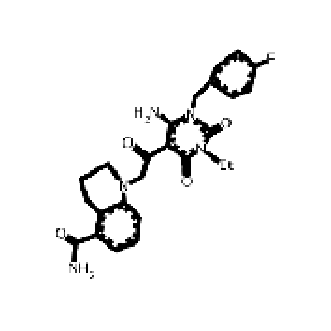 CCn1c(=O)c(C(=O)CN2CCCc3c(C(N)=O)cccc32)c(N)n(Cc2ccc(F)cc2)c1=O